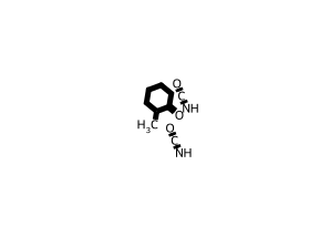 CC1CCCCC1=O.N=C=O.N=C=O